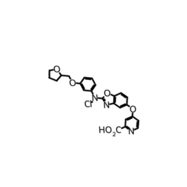 O=C(O)c1cc(Oc2ccc3oc(N(Cl)c4cccc(OCC5CCCO5)c4)nc3c2)ccn1